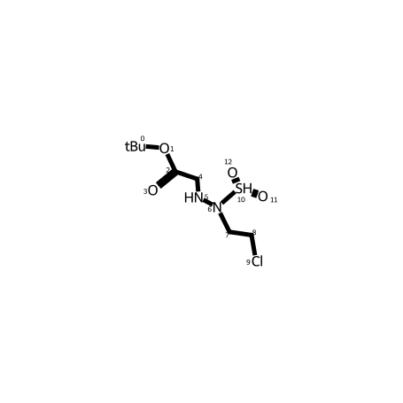 CC(C)(C)OC(=O)CNN(CCCl)[SH](=O)=O